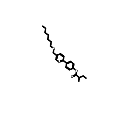 CCCCCCCOCc1ccc(-c2ccc(OC(=O)C(C)CC)cc2)nc1